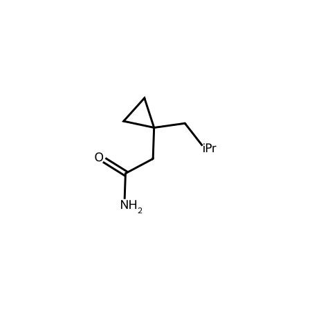 CC(C)CC1(CC(N)=O)CC1